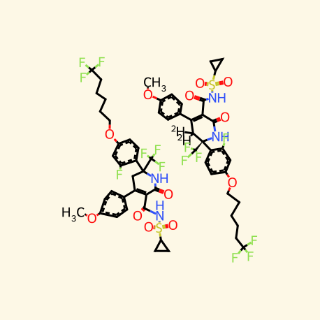 COc1ccc(C2=C(C(=O)NS(=O)(=O)C3CC3)C(=O)NC(c3ccc(OCCCCCC(F)(F)F)cc3F)(C(F)(F)F)C2)cc1.[2H]C1([2H])C(c2ccc(OC)cc2)=C(C(=O)NS(=O)(=O)C2CC2)C(=O)N[C@@]1(c1ccc(OCCCCCC(F)(F)F)cc1F)C(F)(F)F